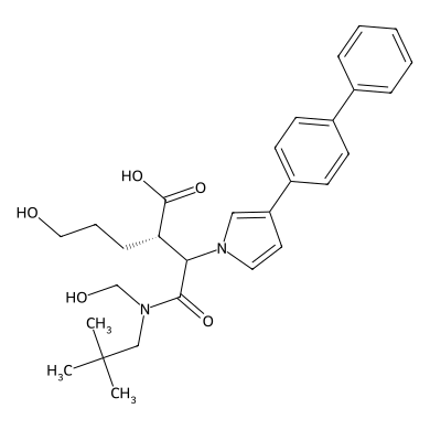 CC(C)(C)CN(CO)C(=O)C([C@H](CCCO)C(=O)O)n1ccc(-c2ccc(-c3ccccc3)cc2)c1